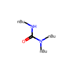 CCCCNC(=O)N(CCCC)CCCC